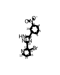 O=[N+]([O-])c1cccc(-c2nc(-c3ncccc3Br)n[nH]2)c1